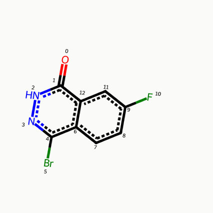 O=c1[nH]nc(Br)c2ccc(F)cc12